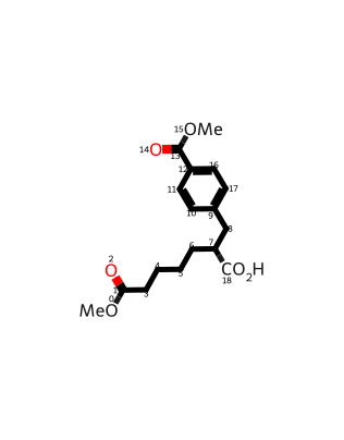 COC(=O)CCCCC(Cc1ccc(C(=O)OC)cc1)C(=O)O